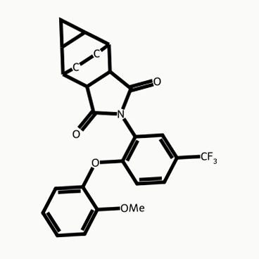 COc1ccccc1Oc1ccc(C(F)(F)F)cc1N1C(=O)C2C3CCC(C4CC43)C2C1=O